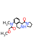 COCC(=O)N(C)c1cccc2c1CCNC2C(=O)N1CCCC1